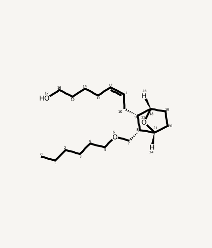 CCCCCCOC[C@@H]1[C@H](C/C=C\CCCCO)[C@@H]2CC[C@H]1O2